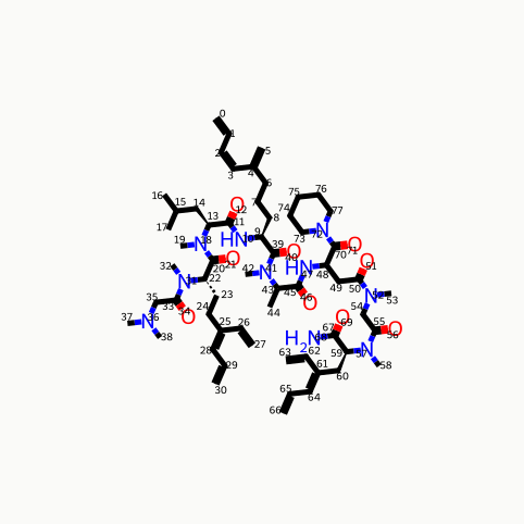 C=C/C=C\C(=C)CCC[C@H](NC(=O)[C@H](CC(C)C)N(C)C(=O)[C@H](CC/C(C=C)=C/C=C)N(C)C(=O)CN(C)C)C(=O)N(C)C(C)C(=O)NC(CC(=O)N(C)CC(=O)N(C)[C@@H](C/C(C=C)=C/C=C)C(N)=O)C(=O)N1CCCCC1